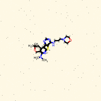 CN(C)c1nc2sc3c(NCCCN4CCOCC4)ncnc3c2c2c1COC(C)(C)C2